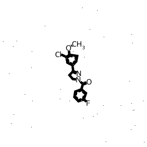 COc1ccc(C2=NN(C(=O)c3cccc(F)c3)CC2)cc1Cl